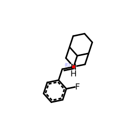 Fc1ccccc1/C=C/C1C2CCCC1CNC2